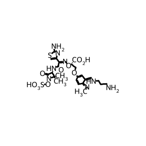 C/N=C1\C=CC(OC[C@H](O/N=C(\C(=O)N[C@@H]2C(=O)N(OS(=O)(=O)O)C2(C)C)c2csc(N)n2)C(=O)O)=C\C1=C\NCCCN